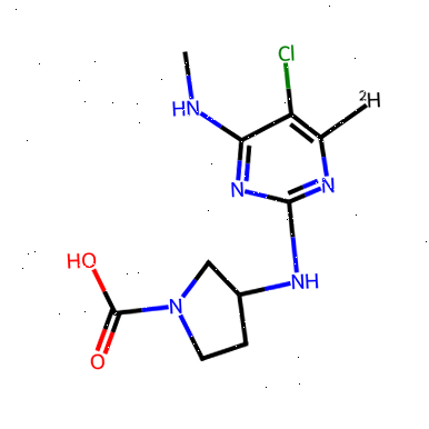 [2H]c1nc(NC2CCN(C(=O)O)C2)nc(NC)c1Cl